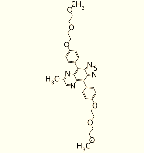 COCCOCCOc1ccc(-c2c3ncc(C)nc3c(-c3ccc(OCCOCCOC)cc3)c3nsnc23)cc1